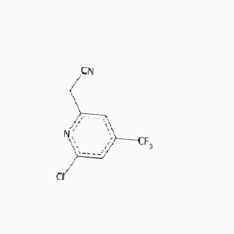 N#CCc1cc(C(F)(F)F)cc(Cl)n1